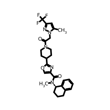 Cc1cc(C(F)(F)F)nn1CC(=O)N1CCC(c2nc(C(=O)N(C)[C@@H]3CCCc4ccccc43)co2)CC1